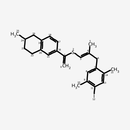 C=C(S/C=C(\C)Cc1cc(C)c(I)cc1C)c1ccc2c(c1)CCC(C)C2